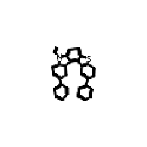 C=Cn1c2ccc(-c3ccccc3)cc2c2c3c(ccc21)sc1ccc(-c2ccccc2)cc13